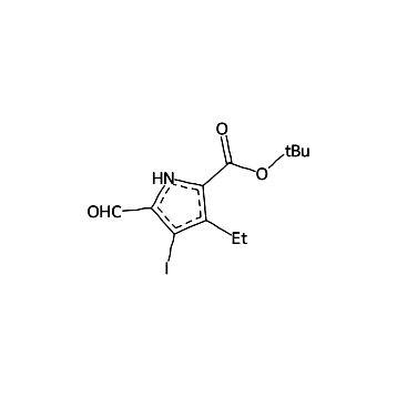 CCc1c(C(=O)OC(C)(C)C)[nH]c(C=O)c1I